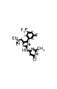 CCN(CC)Cc1sc(Nc2cc(Cl)nc(C)n2)nc1-c1cc(F)cc(C(F)(F)F)c1